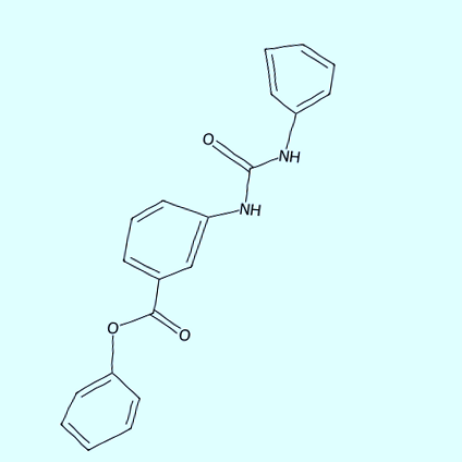 O=C(Nc1ccccc1)Nc1cccc(C(=O)Oc2ccccc2)c1